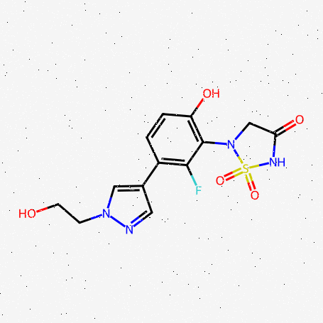 O=C1CN(c2c(O)ccc(-c3cnn(CCO)c3)c2F)S(=O)(=O)N1